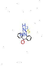 NC(=S)Nc1ccccc1C(=O)c1ccccc1